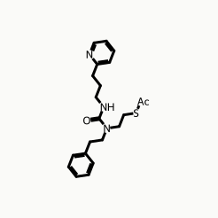 CC(=O)SCCN(CCc1ccccc1)C(=O)NCCCc1ccccn1